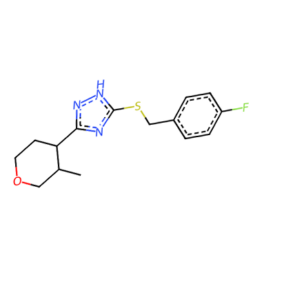 CC1COCCC1c1n[nH]c(SCc2ccc(F)cc2)n1